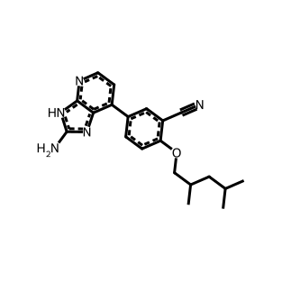 CC(C)CC(C)COc1ccc(-c2ccnc3[nH]c(N)nc23)cc1C#N